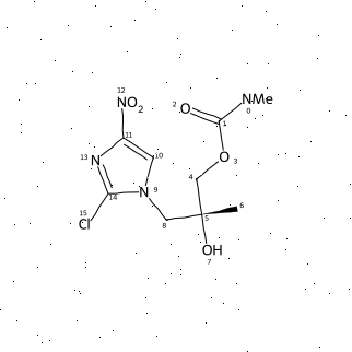 CNC(=O)OC[C@](C)(O)Cn1cc([N+](=O)[O-])nc1Cl